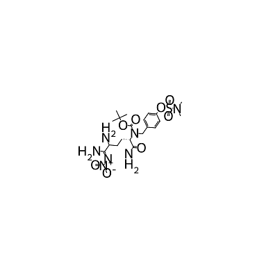 CN(C)S(=O)(=O)Oc1ccc(CN(C(=O)OC(C)(C)C)[C@@H](CCC(N)C(N)=N[N+](=O)[O-])C(N)=O)cc1